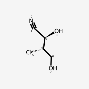 N#C[C@@H](O)[C@@H](Cl)CO